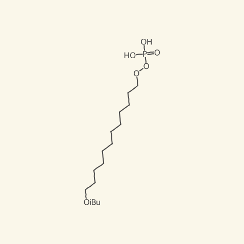 CC(C)COCCCCCCCCCCCCOOP(=O)(O)O